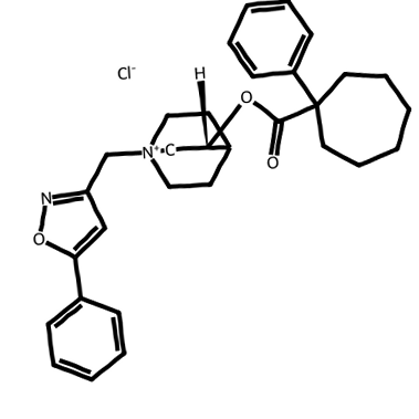 O=C(O[C@H]1C[N+]2(Cc3cc(-c4ccccc4)on3)CCC1CC2)C1(c2ccccc2)CCCCCC1.[Cl-]